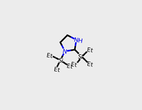 CC[Si](CC)(CC)C1NCCN1[Si](CC)(CC)CC